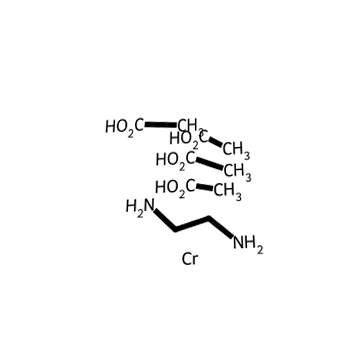 CC(=O)O.CC(=O)O.CC(=O)O.CC(=O)O.NCCN.[Cr]